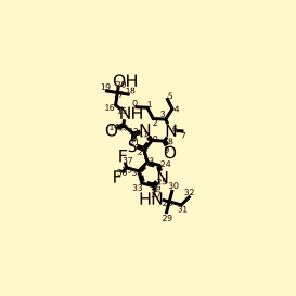 CCCC(CC)N(C)C(=O)c1nc(C(=O)NCC(C)(C)O)sc1-c1cnc(NC(C)(C)CC)cc1C(F)F